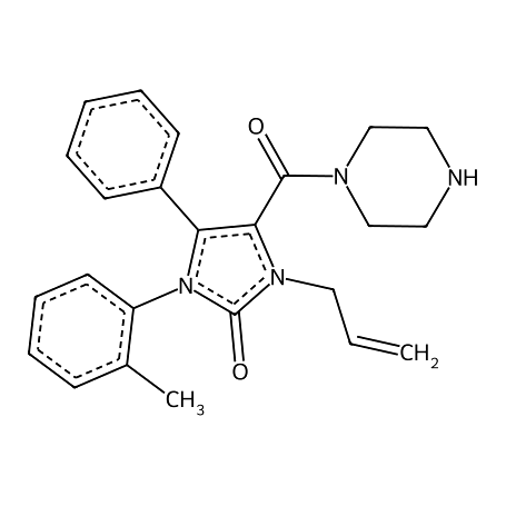 C=CCn1c(C(=O)N2CCNCC2)c(-c2ccccc2)n(-c2ccccc2C)c1=O